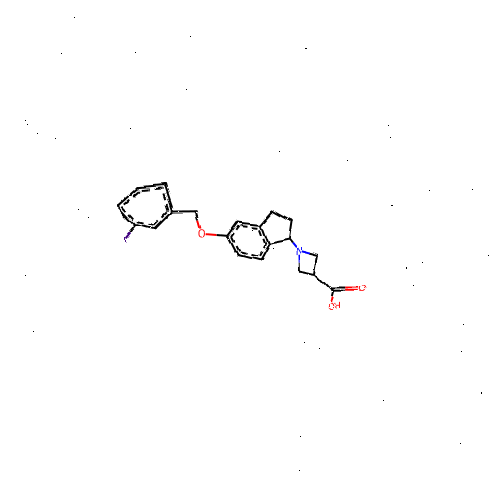 O=C(O)C1CN(C2CCc3cc(OCc4cccc(I)c4)ccc32)C1